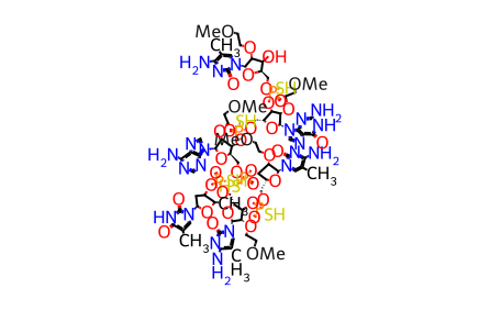 COCCO[C@H]1C(O)[C@@H](COP(=O)(S)OC2[C@@H](COP(=O)(S)OC3[C@@H](COP(=O)(S)OC4[C@@H](COP(=O)(S)OC5[C@@H](COP(=O)(S)OC6C[C@H](n7cc(C)c(=O)[nH]c7=O)O[C@@H]6C)O[C@@H](n6cc(C)c(N)nc6=O)[C@H]5OCCOC)O[C@@H](n5cc(C)c(N)nc5=O)[C@H]4OCCOC)O[C@@H](n4cnc5c(N)ncnc54)[C@H]3OCCOC)O[C@@H](n3cnc4c(=O)[nH]c(N)nc43)[C@H]2OCCOC)O[C@H]1n1cc(C)c(N)nc1=O